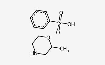 CC1CNCCO1.O=S(=O)(O)c1ccccc1